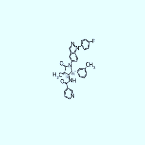 Cc1cccc([C@@H]2[C@@H](NC(=O)c3cccnc3)[C@@H](C)C(=O)N2c2ccc3c(cnn3-c3ccc(F)cc3)c2)c1